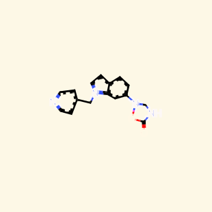 O=C1NCN(c2ccc3ccn(Cc4ccncc4)c3c2)O1